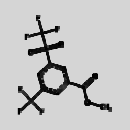 COC(=O)c1cc(C(F)(F)F)cc(S(=O)(=O)C(F)(F)F)c1